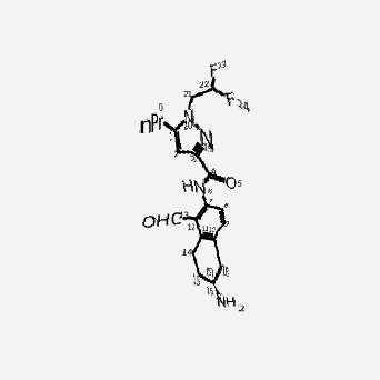 CCCc1cc(C(=O)Nc2ccc3c(c2C=O)CC[C@H](N)C3)nn1CC(F)F